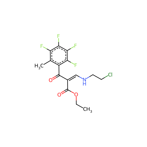 CCOC(=O)C(=CNCCCl)C(=O)c1c(C)c(F)c(F)c(F)c1F